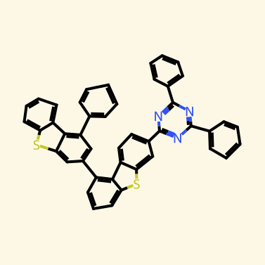 c1ccc(-c2nc(-c3ccccc3)nc(-c3ccc4c(c3)sc3cccc(-c5cc(-c6ccccc6)c6c(c5)sc5ccccc56)c34)n2)cc1